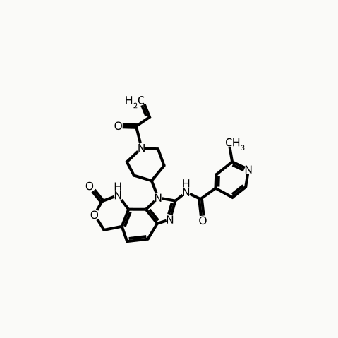 C=CC(=O)N1CCC(n2c(NC(=O)c3ccnc(C)c3)nc3ccc4c(c32)NC(=O)OC4)CC1